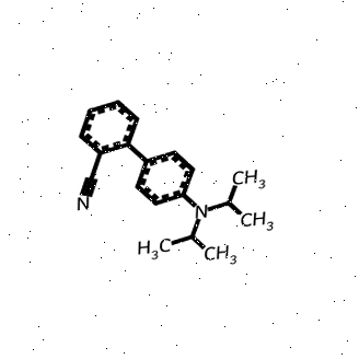 CC(C)N(c1ccc(-c2ccccc2C#N)cc1)C(C)C